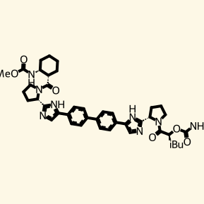 CCC(C)[C@H](OC(N)=O)C(=O)N1CCC[C@H]1c1ncc(-c2ccc(-c3ccc(-c4cnc([C@@H]5CCCN5C(=O)[C@H]5CCCC[C@H]5NC(=O)OC)[nH]4)cc3)cc2)[nH]1